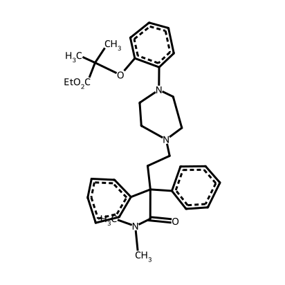 CCOC(=O)C(C)(C)Oc1ccccc1N1CCN(CCC(C(=O)N(C)C)(c2ccccc2)c2ccccc2)CC1